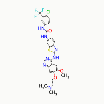 COc1cc2c(Nc3nc4ccc(NC(=O)Nc5ccc(Cl)c(C(F)(F)F)c5)cc4s3)ncnc2cc1OCCN(C)C